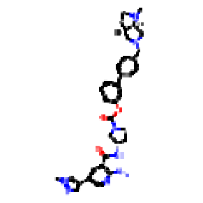 CN1CC[C@@H]2CN(Cc3ccc(-c4cccc(OC(=O)N5CC[C@@H](NC(=O)c6cc(-c7cnn(C)c7)cnc6N)C5)c4)cc3)C[C@@H]21